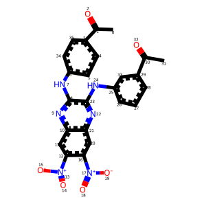 CC(=O)c1ccc(Nc2nc3cc([N+](=O)[O-])c([N+](=O)[O-])cc3nc2Nc2cccc(C(C)=O)c2)cc1